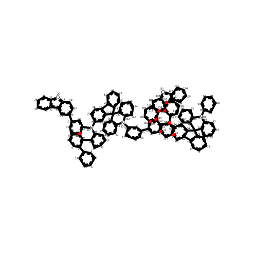 c1ccc(-c2ccccc2-c2ccccc2N(c2cccc(-c3ccc4oc5ccccc5c4c3)c2)c2ccc3c(c2)C2(c4ccccc4-3)c3ccccc3N(c3cccc(-c4ccc(N(c5ccc6c(c5)C5(c7ccccc7-6)c6ccccc6N(c6ccccc6)c6ccccc65)c5ccccc5-c5ccccc5-c5ccccc5)c(-c5ccc6oc7ccccc7c6c5)c4)c3)c3ccccc32)cc1